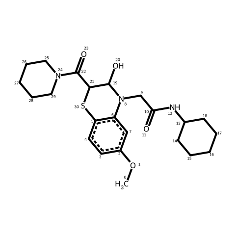 COc1ccc2c(c1)N(CC(=O)NC1CCCCC1)C(O)C(C(=O)N1CCCCC1)S2